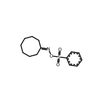 O=S(=O)(ON=C1CCCCCCC1)c1ccccc1